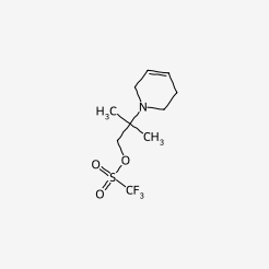 CC(C)(COS(=O)(=O)C(F)(F)F)N1CC=CCC1